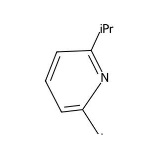 [CH2]c1cccc(C(C)C)n1